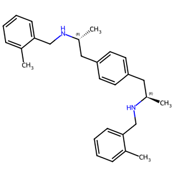 Cc1ccccc1CN[C@H](C)Cc1ccc(C[C@@H](C)NCc2ccccc2C)cc1